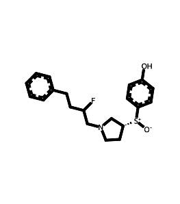 [O-][S+](c1ccc(O)cc1)[C@@H]1CCN(CC(F)CCc2ccccc2)C1